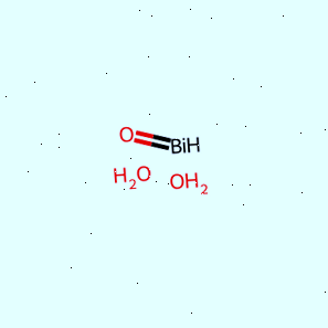 O.O.[O]=[BiH]